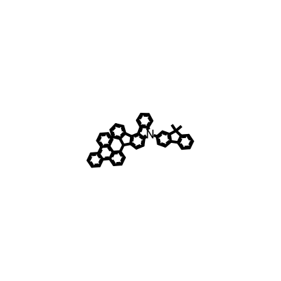 CC1(C)c2ccccc2-c2ccc(-n3c4ccccc4c4c5c(ccc43)C(c3cccc4c6ccccc6c6ccccc6c34)c3ccccc3-5)cc21